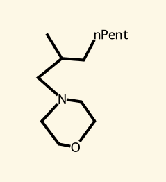 CCCCCCC(C)CN1CCOCC1